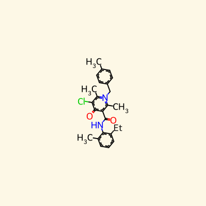 CCc1cccc(C)c1NC(=O)c1c(C)n(Cc2ccc(C)cc2)c(C)c(Cl)c1=O